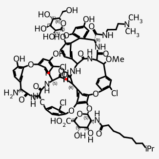 COC1c2ccc(c(Cl)c2)Oc2cc3cc(c2O[C@@H]2O[C@H](C(=O)O)[C@@H](O)[C@H](O)[C@H]2NC(=O)CCCCCCCC(C)C)Oc2ccc(cc2Cl)C[C@H]2NC(=O)[C@H](N)c4ccc(O)c(c4)Oc4cc(O)c(Cl)c(c4)[C@H](NC2=O)C(=O)N[C@H]3C(=O)NC2C(=O)NC1C(=O)N[C@@H](C(=O)NCCCN(C)C)c1cc(O)cc(O[C@H]3O[C@H](CO)[C@@H](O)[C@H](O)[C@@H]3O)c1-c1cc2ccc1O